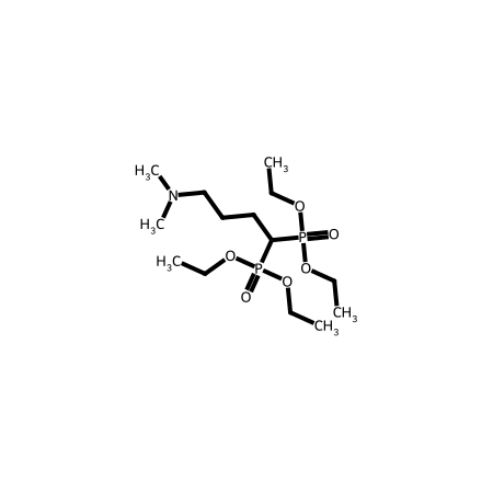 CCOP(=O)(OCC)C(CCCN(C)C)P(=O)(OCC)OCC